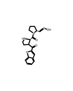 O=C(c1cc2ccccc2o1)C1CCN[C@H]1C(=O)N1CCC[C@H]1C=NO